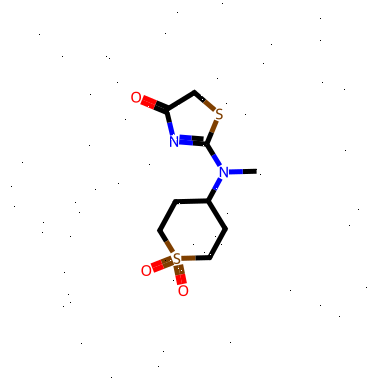 CN(C1=NC(=O)CS1)C1CCS(=O)(=O)CC1